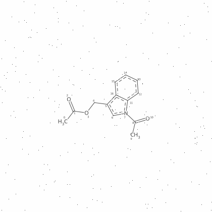 CC(=O)OCc1cn(C(C)=O)c2ccccc12